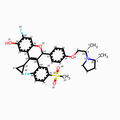 C[C@@H]1CCCN1[C@@H](C)COc1ccc(C2Oc3cc(F)c(O)cc3C(C3CC3)=C2c2cc(S(C)(=O)=O)ccc2F)cc1